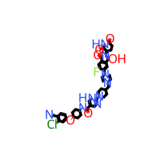 N#Cc1ccc(O[C@H]2CC[C@H](NC(=O)c3cnc(N4CCC(CN5CCN(c6cc7c(cc6F)C(=O)N(C6CCC(=O)NC6=O)C7O)CC5)CC4)nc3)CC2)cc1Cl